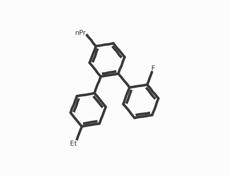 CCCc1ccc(-c2ccccc2F)c(-c2ccc(CC)cc2)c1